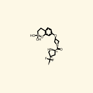 O=C([C@H]1C[C@@H](C(F)(F)F)CN1)N1CC(Oc2ccc3c(c2)O[B-](O)(O)CC3)C1